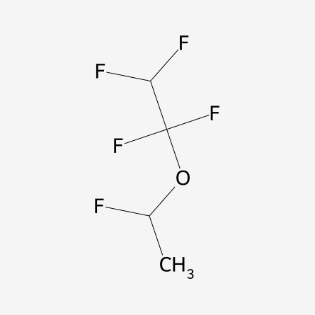 CC(F)OC(F)(F)C(F)F